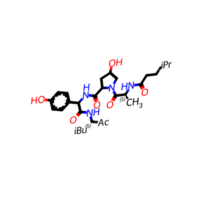 CC[C@H](C)C(NC(=O)C(NC(=O)C1CC(O)CN1C(=O)[C@H](C)NC(=O)CCC(C)C)c1ccc(O)cc1)C(C)=O